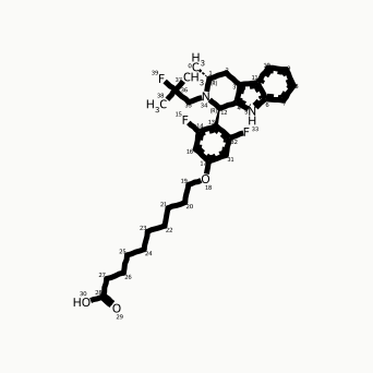 C[C@@H]1Cc2c([nH]c3ccccc23)[C@@H](c2c(F)cc(OCCCCCCCCCC(=O)O)cc2F)N1CC(C)(C)F